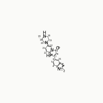 Cc1nc2ccc(C3=CC(=O)N4C=C(N5CCN[C@@H](C)C5)C=CC4P3)cc2s1